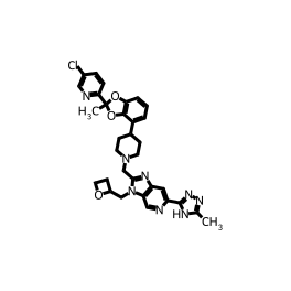 Cc1nnc(-c2cc3nc(CN4CCC(c5cccc6c5OC(C)(c5ccc(Cl)cn5)O6)CC4)n(CC4CCO4)c3cn2)[nH]1